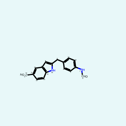 O=CNc1ccc(Cc2cc3cc(C(=O)O)ccc3[nH]2)cc1